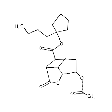 [CH2]C(=O)OC1C2CC3C1OC(=O)C3C2C(=O)OC1(CCCC)CCCC1